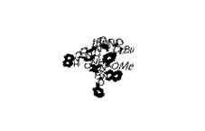 COC[C@@H](c1ccccc1)N(CC1(C(=O)NC2C[C@@H](C(=O)NC3CCCc4ccccc43)N(C(=O)[C@@H](NC(=O)[C@H](C)N(C)C(=O)OC(C)(C)C)C(C)(C)C)C2)CC1)C(=O)[C@@H]1Cc2ccccc2CN1C(=O)OCc1ccccc1